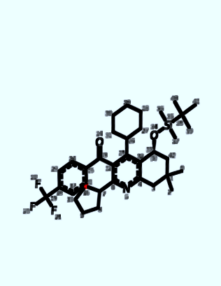 CC1(C)Cc2nc(C3CCCC3)c(C(=O)c3ccc(C(F)(F)F)cc3)c(C3CCCCC3)c2[C@@H](O[Si](C)(C)C(C)(C)C)C1